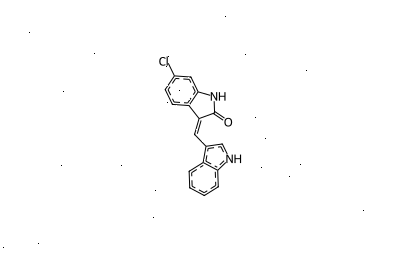 O=C1Nc2cc(Cl)ccc2/C1=C/c1c[nH]c2ccccc12